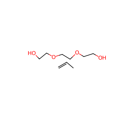 C=CC.OCCOCCOCCO